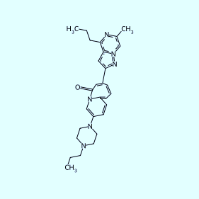 CCCc1nc(C)cn2nc(C3=C\C(=O)N4C=C(N5CCN(CCC)CC5)C=C\C4=C/C=C/3)cc12